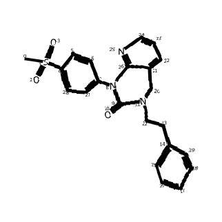 CS(=O)(=O)c1ccc(N2C(=O)N(CCc3ccccc3)Cc3cccnc32)cc1